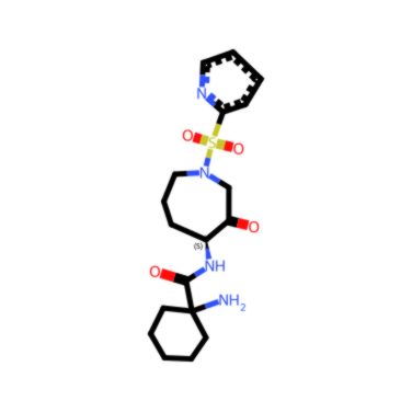 NC1(C(=O)N[C@H]2CCCN(S(=O)(=O)c3ccccn3)CC2=O)CCCCC1